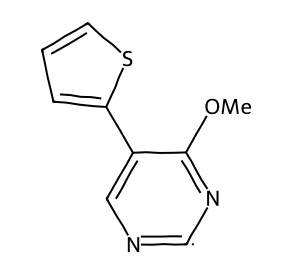 COc1n[c]ncc1-c1cccs1